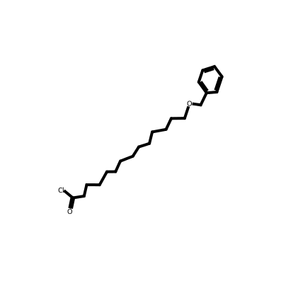 O=C(Cl)CCCCCCCCCCCCCOCc1ccccc1